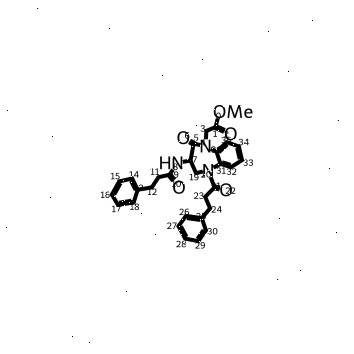 COC(=O)CN1C(=O)C(NC(=O)CCc2ccccc2)CN(C(=O)CCc2ccccc2)c2ccccc21